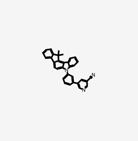 CC1(C)c2ccccc2-c2ccc3c(c21)c1ccccc1n3-c1cccc(-c2cncc(C#N)c2)c1